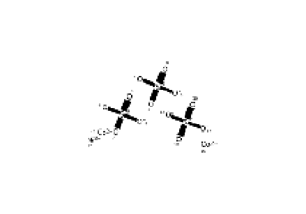 O=S(=O)([O-])[O-].O=S(=O)([O-])[O-].O=S(=O)([O-])[O-].[Co+2].[Co+2].[Ni+2]